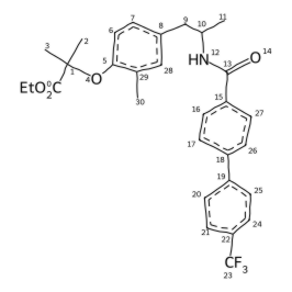 CCOC(=O)C(C)(C)Oc1ccc(CC(C)NC(=O)c2ccc(-c3ccc(C(F)(F)F)cc3)cc2)cc1C